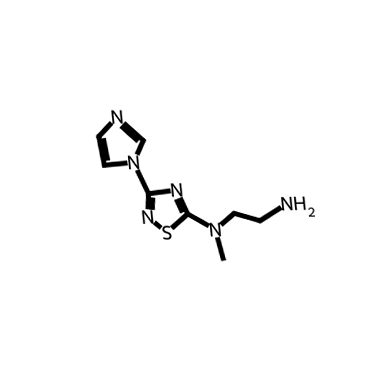 CN(CCN)c1nc(-n2ccnc2)ns1